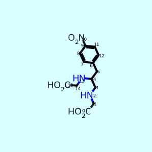 O=C(O)CNCC(Cc1ccc([N+](=O)[O-])cc1)NCC(=O)O